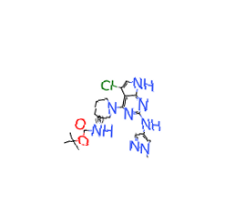 Cn1cc(Nc2nc(N3CCC[C@@H](NC(=O)OC(C)(C)C)C3)c3c(Cl)c[nH]c3n2)cn1